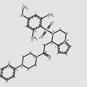 COc1cc(C)c(S(=O)(=O)N2CCn3cccc3C2CC(=O)N2CCN(c3ccccn3)CC2)c(C)c1